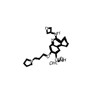 COc1cc2c3c(c(NC4COC4)nc2cc1OCCCN1CCCC1)CCC3.O=CO